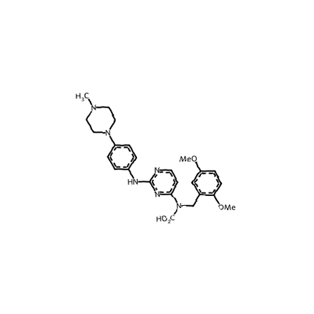 COc1ccc(OC)c(CN(C(=O)O)c2ccnc(Nc3ccc(N4CCN(C)CC4)cc3)n2)c1